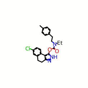 CCN(CCc1ccc(C)cc1)C(=O)Oc1[nH]nc2c1-c1ccc(Cl)cc1CC2